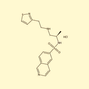 C[C@H](CNCCc1ccsn1)NS(=O)(=O)c1ccc2cnccc2c1.Cl